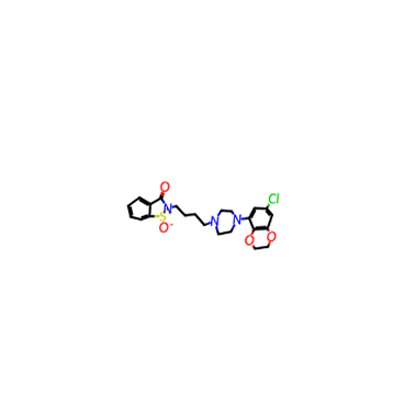 O=c1c2ccccc2[s+]([O-])n1CCCCN1CCN(c2cc(Cl)cc3c2OCCO3)CC1